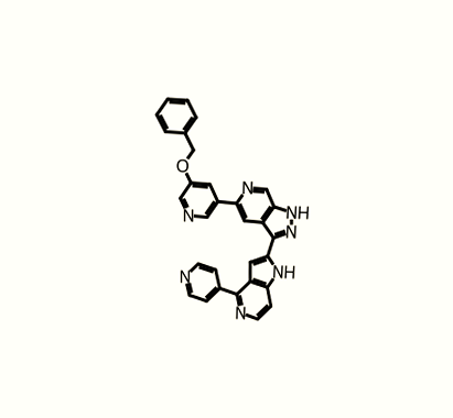 c1ccc(COc2cncc(-c3cc4c(-c5cc6c(-c7ccncc7)nccc6[nH]5)n[nH]c4cn3)c2)cc1